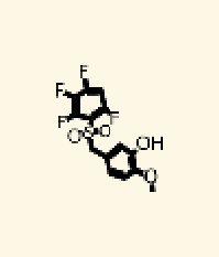 COc1ccc(CS(=O)(=O)c2c(F)cc(F)c(F)c2F)cc1O